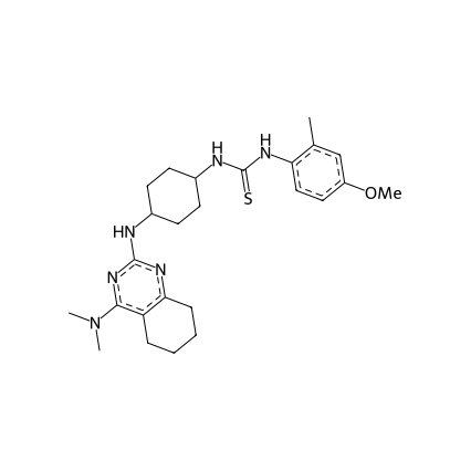 COc1ccc(NC(=S)NC2CCC(Nc3nc4c(c(N(C)C)n3)CCCC4)CC2)c(C)c1